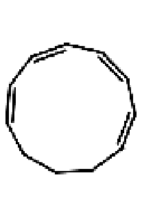 [C]1=C/C=C\C=C/C=C\CCC\1